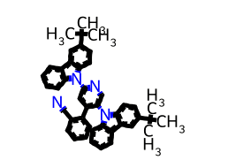 CC(C)(C)c1ccc2c(c1)c1ccccc1n2-c1cc(-c2ccccc2C#N)c(-n2c3ccccc3c3cc(C(C)(C)C)ccc32)cn1